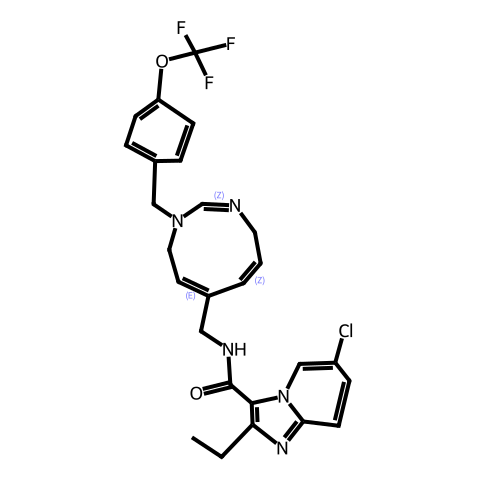 CCc1nc2ccc(Cl)cn2c1C(=O)NCC1=C/CN(Cc2ccc(OC(F)(F)F)cc2)/C=N\C/C=C\1